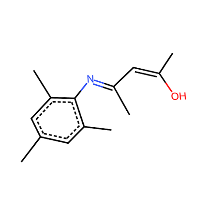 C/C(O)=C/C(C)=N/c1c(C)cc(C)cc1C